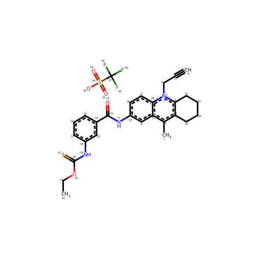 C#CC[n+]1c2c(c(C)c3cc(NC(=O)c4cccc(NC(=S)OCC)c4)ccc31)CCCC2.O=S(=O)([O-])C(F)(F)F